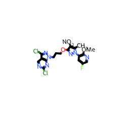 COc1ncc(F)cc1-n1nc(OCCCn2nc(Cl)c3cnc(Cl)nc32)c([N+](=O)[O-])c1C